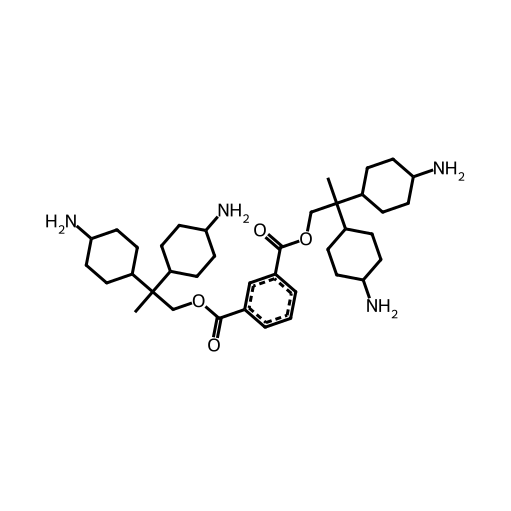 CC(COC(=O)c1cccc(C(=O)OCC(C)(C2CCC(N)CC2)C2CCC(N)CC2)c1)(C1CCC(N)CC1)C1CCC(N)CC1